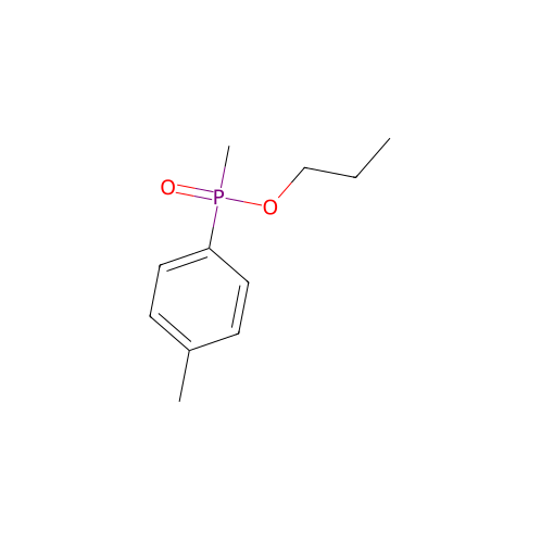 CCCOP(C)(=O)c1ccc(C)cc1